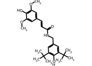 COc1cc(/C=C/C(=O)NCc2cc(C(C)(C)C)c(O)c(C(C)(C)C)c2)cc(OC)c1O